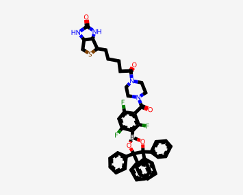 O=C1NC2CSC(CCCCC(=O)N3CCN(C(=O)c4c(F)cc(F)c(B5OC(c6ccccc6)(c6ccccc6)C(c6ccccc6)(c6ccccc6)O5)c4F)CC3)C2N1